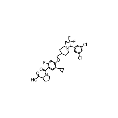 O=C(O)C1CCCN1C(=O)c1cc(C2CC2)c(OCC2CCN([C@@H](c3cc(Cl)cc(Cl)c3)C(F)(F)F)CC2)cc1F